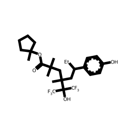 CCC(CC(C)(CC(C)(C)C(=O)OC1(C)CCCC1)C(O)(C(F)(F)F)C(F)(F)F)c1ccc(O)cc1